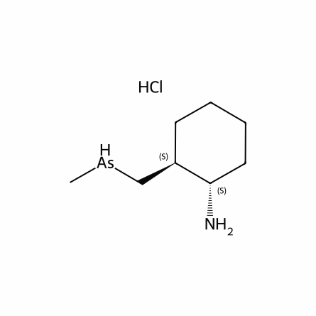 C[AsH]C[C@H]1CCCC[C@@H]1N.Cl